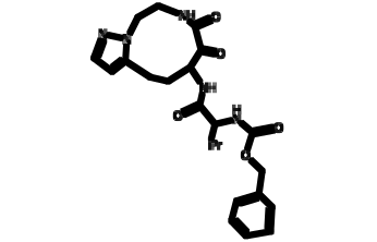 CC(C)C(NC(=O)OCc1ccccc1)C(=O)NC1CCc2ccnn2CCNC(=O)C1=O